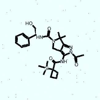 CC(=O)n1nc2c(c1NC(=O)C1([Si](C)(C)C)CCC1)CN(C(=O)N[C@H](CO)c1ccccc1)C2(C)C